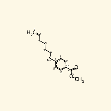 C=CCCCCSc1ccc(C(=O)OC)cc1